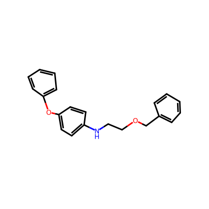 c1ccc(COCCNc2ccc(Oc3ccccc3)cc2)cc1